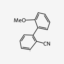 COc1ccccc1-c1ccc[c]c1C#N